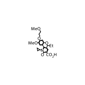 CCC1Oc2cc(OCCCOC)c(OC)cc2-c2c1cc(C(=O)O)c(=O)n2C1CC1